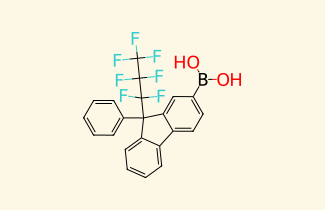 OB(O)c1ccc2c(c1)C(c1ccccc1)(C(F)(F)C(F)(F)C(F)(F)F)c1ccccc1-2